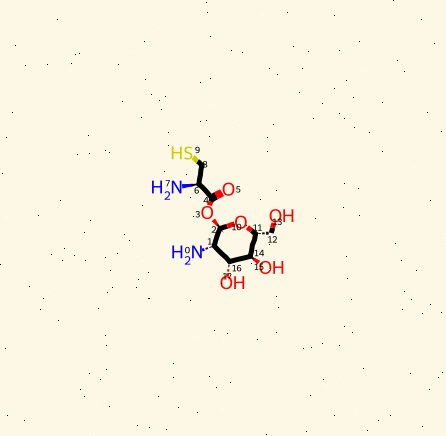 N[C@@H]1[C@@H](OC(=O)[C@@H](N)CS)O[C@H](CO)[C@@H](O)[C@@H]1O